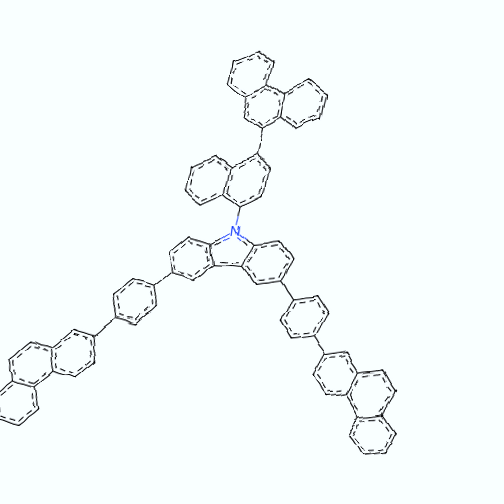 c1ccc2c(c1)ccc1cc(-c3ccc(-c4ccc5c(c4)c4cc(-c6ccc(-c7ccc8c(ccc9ccccc98)c7)cc6)ccc4n5-c4ccc(-c5cc6ccccc6c6ccccc56)c5ccccc45)cc3)ccc12